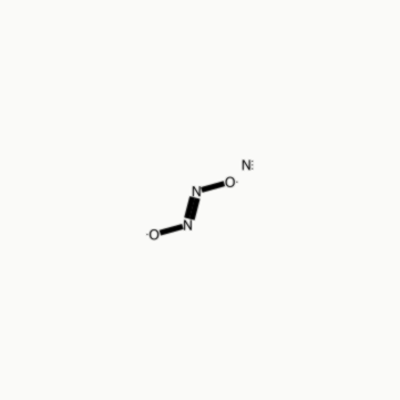 [N].[O]N=N[O]